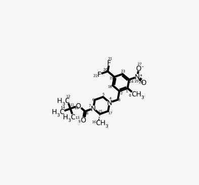 Cc1c(CN2CCN(C(=O)OC(C)(C)C)[C@@H](C)C2)cc(C(F)F)cc1[N+](=O)[O-]